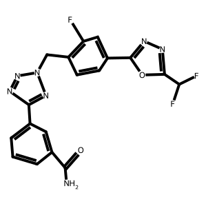 NC(=O)c1cccc(-c2nnn(Cc3ccc(-c4nnc(C(F)F)o4)cc3F)n2)c1